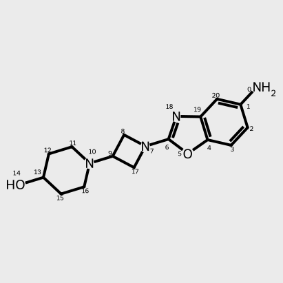 Nc1ccc2oc(N3CC(N4CCC(O)CC4)C3)nc2c1